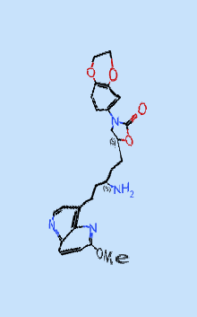 COc1ccc2nccc(CC[C@H](N)CC[C@H]3CN(c4ccc5c(c4)OCCO5)C(=O)O3)c2n1